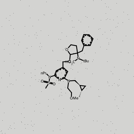 CCCN(c1cc(COC2OCCC2(Cc2ccccc2)N(C(=O)O)C(C)(C)C)cc(N(CCOC)C[C@H]2C[C@@H]2C)n1)S(C)(=O)=O